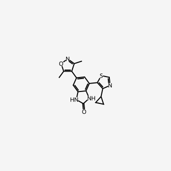 Cc1noc(C)c1-c1cc(-c2scnc2C2CC2)c2[nH]c(=O)[nH]c2c1